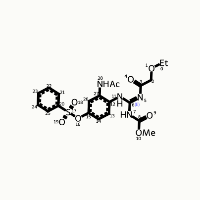 CCOCC(=O)/N=C(/NC(=O)OC)Nc1ccc(OS(=O)(=O)c2ccccc2)cc1NC(C)=O